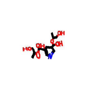 CC(CO)OC(O)c1cncc(C(O)OC(C)CO)c1